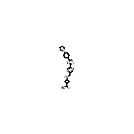 O=C(O)C1CC(NCc2cnc(-c3nc(-c4ccc(N5CCCC5)cc4)no3)cn2)C1